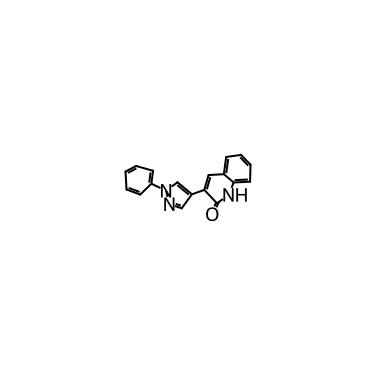 O=c1[nH]c2ccccc2cc1-c1cnn(-c2ccccc2)c1